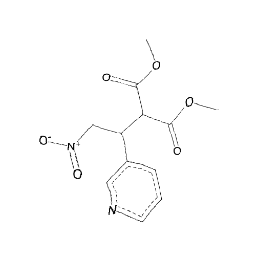 COC(=O)C(C(=O)OC)C(C[N+](=O)[O-])c1cccnc1